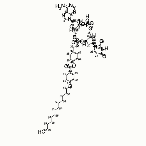 Nc1ncnc2c1ncn2[C@H]1C[C@@H]2OP(=O)(O)OC[C@H]3O[C@@H](n4ccc(=O)[nH]c4=O)C[C@@H]3OP(=O)(SCc3ccc(OC(=O)c4ccc(OCCCCCCCCCCCCO)cc4)cc3)OC[C@H]2O1